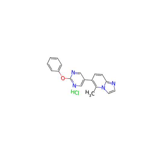 Cc1c(-c2cnc(Oc3ccccc3)nc2)ccc2nccn12.Cl